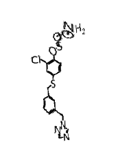 NOOSOc1ccc(SCc2cccc(Cn3cncn3)c2)cc1Cl